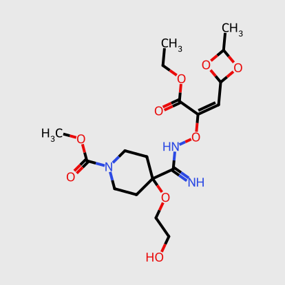 CCOC(=O)C(=CC1OC(C)O1)ONC(=N)C1(OCCO)CCN(C(=O)OC)CC1